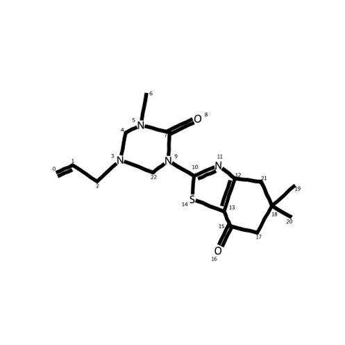 C=CCN1CN(C)C(=O)N(c2nc3c(s2)C(=O)CC(C)(C)C3)C1